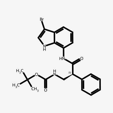 CC(C)(C)OC(=O)NC[C@@H](C(=O)Nc1cccc2c(Br)c[nH]c12)c1ccccc1